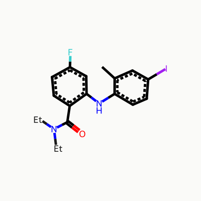 CCN(CC)C(=O)c1ccc(F)cc1Nc1ccc(I)cc1C